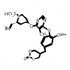 COc1cc(CC2COS(=O)OC2)ccc1Oc1ncnc(O[C@@H]2CCN(C(=O)O)[C@@H](CC(C)C)C2)c1C